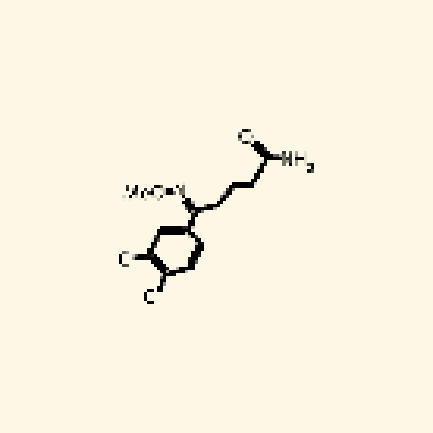 CO/N=C(/CCCC(N)=O)c1ccc(Cl)c(Cl)c1